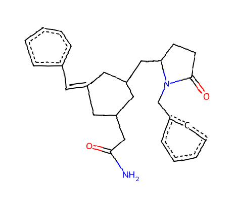 NC(=O)CC1CC(=Cc2ccccc2)CC(CC2CCC(=O)N2Cc2ccccc2)C1